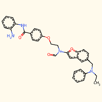 CCN(Cc1ccc2oc(N(C=O)CCOc3ccc(C(=O)Nc4ccccc4N)cc3)cc2c1)c1ccccc1